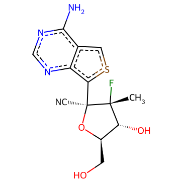 C[C@@]1(F)[C@H](O)[C@@H](CO)O[C@@]1(C#N)c1scc2c(N)ncnc12